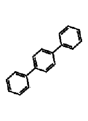 [c]1ccccc1-c1ccc(-c2ccccc2)cc1